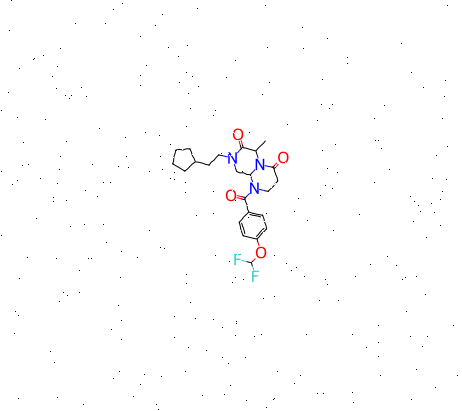 CC1C(=O)N(CCC2CCCC2)CC2N(C(=O)c3ccc(OC(F)F)cc3)CCC(=O)N12